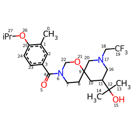 Cc1cc(C(=O)N2CCC3(CC(C(C)(C)O)CN(CC(F)(F)F)C3)OC2)ccc1OC(C)C